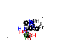 CCc1cccc(N(Cc2nc(-c3ccccc3)nn2C)c2ccc(C(N)=NO)cc2)c1.O=C(O)C(F)(F)F